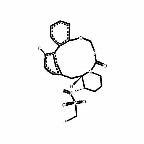 C=[N+]([C@H]1CCCN2C(=O)CCOc3ccccc3-c3cc(ccc3F)C[C@@H]12)S(=O)(=O)CF